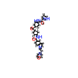 O=C(Nc1ccc(C(=O)c2ccc(NC(=O)c3ccc[nH]3)cc2)cc1)c1ccc2c(ccn2CCN2CCOCC2)c1